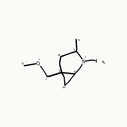 COCC12CC(C)N(I)C1C2